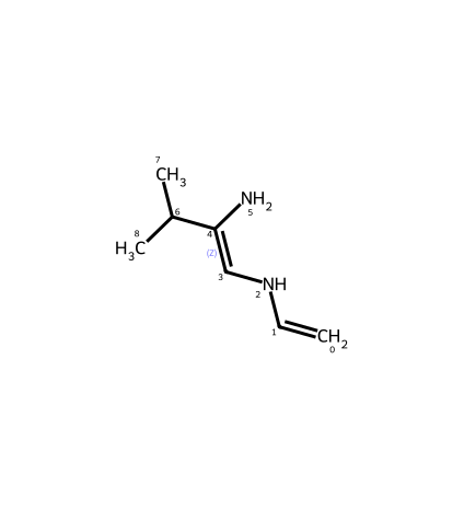 C=CN/C=C(\N)C(C)C